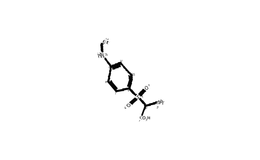 CCCC(C(=O)O)S(=O)(=O)c1ccc(NCC)cc1